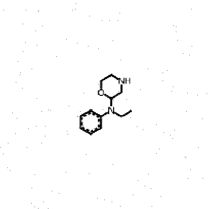 CCN(c1c[c]ccc1)C1CNCCO1